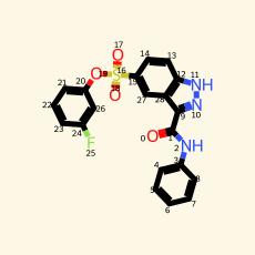 O=C(Nc1ccccc1)c1n[nH]c2ccc(S(=O)(=O)Oc3cccc(F)c3)cc12